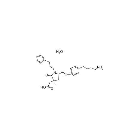 C[C@@]1(CC(=O)O)C[C@H](COc2ccc(CCCCN)cc2)N(CCCc2ccccc2)C1=O.O